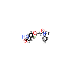 CCN(C(=O)CCCOc1ccc2[nH]c(=O)ccc2c1F)C1CCCCC1